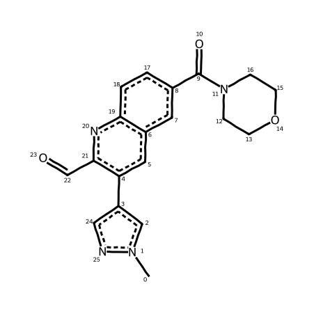 Cn1cc(-c2cc3cc(C(=O)N4CCOCC4)ccc3nc2C=O)cn1